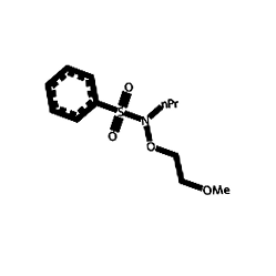 C[CH]CN(OCCOC)S(=O)(=O)c1ccccc1